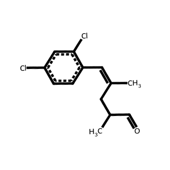 CC(=Cc1ccc(Cl)cc1Cl)CC(C)C=O